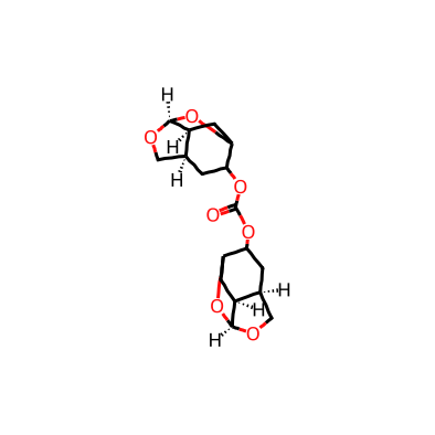 O=C(OC1C[C@H]2CO[C@H]3OC1C[C@@H]23)OC1C[C@H]2CO[C@H]3OC1C[C@@H]23